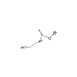 CC(C)OC(=S)NCCO